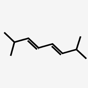 CC(C)/C=[C]/C=C/C(C)C